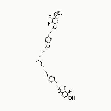 CCOc1ccc(OCCCc2ccc(OCCCCCC(C)CCCCCOc3ccc(CCCOc4ccc(O)c(F)c4F)cc3)cc2)c(F)c1F